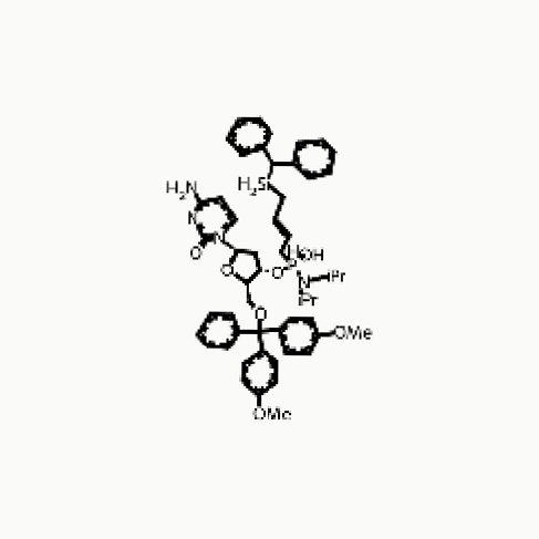 COc1ccc(C(OC[C@H]2O[C@@H](n3ccc(N)nc3=O)C[C@@H]2O[PH](O)(CC=CC[SiH2]C(c2ccccc2)c2ccccc2)N(C(C)C)C(C)C)(c2ccccc2)c2ccc(OC)cc2)cc1